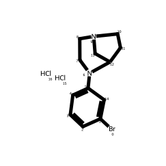 Brc1cccc(N2CCN3CCC2C3)c1.Cl.Cl